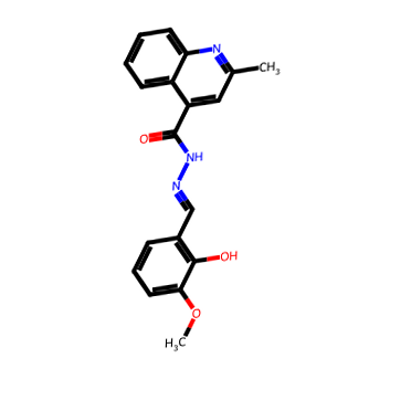 COc1cccc(C=NNC(=O)c2cc(C)nc3ccccc23)c1O